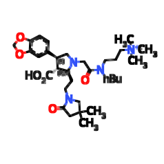 CCCCN(CCC[N+](C)(C)C)C(=O)CN1C[C@H](c2ccc3c(c2)OCO3)[C@@H](C(=O)O)[C@@H]1CCN1CC(C)(C)CC1=O